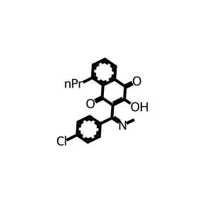 CCCc1cccc2c1C(=O)C(/C(=N\C)c1ccc(Cl)cc1)=C(O)C2=O